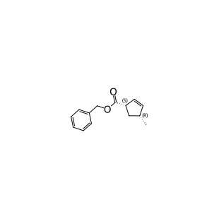 C[C@H]1C=C[C@@H](C(=O)OCc2ccccc2)C1